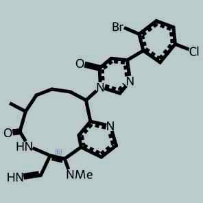 CN/C1=C(\C=N)NC(=O)C(C)CCCC(n2cnc(-c3cc(Cl)ccc3Br)cc2=O)c2cc1ccn2